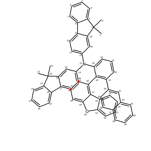 CC1(C)c2ccccc2-c2ccc(N(c3ccc4c(c3)C(C)(C)c3ccccc3-4)c3cccc(-c4ccc5ccccc5c4)c3-c3cccc4oc5ccccc5c34)cc21